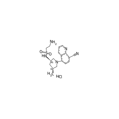 C[C@H]1C[C@@H](NS(=O)(=O)CCN)CN(c2ccc(C#N)c3ncccc23)C1.Cl